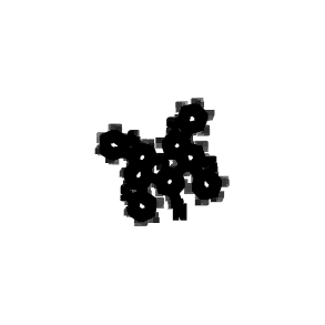 N#Cc1cc2c3c(c1)-c1c4c(cc5sc6ccccc6c5c4cc4sc5ccccc5c14)B3c1cc3sc4ccccc4c3c3cc4sc5ccccc5c4c-2c13